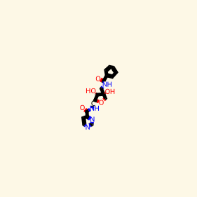 O=C(NC[C@]1(O)CO[C@H](CNC(=O)c2ccncn2)[C@H]1O)c1ccccc1